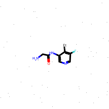 CCc1c(F)cncc1NC(=O)CN